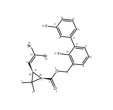 CC1(C)[C@H](C(=O)OCc2cccc(-c3cccc(F)c3)c2F)[C@@H]1C=C(Br)Br